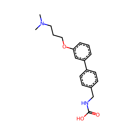 CN(C)CCCOc1cccc(-c2ccc(CNC(=O)O)cc2)c1